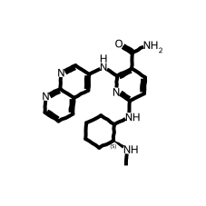 CN[C@H]1CCCCC1Nc1ccc(C(N)=O)c(Nc2cnc3ncccc3c2)n1